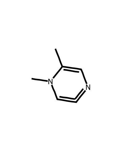 CC1=CN=C=CN1C